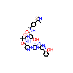 Cc1ncsc1-c1ccc([C@H](C)NC(=O)[C@@H]2C[C@@H](O)CN2C(=O)C(NC(=O)c2ccnc(N3CCN(c4cc(-c5ccccc5O)nnc4N)CC3)c2)C(C)(C)C)cc1